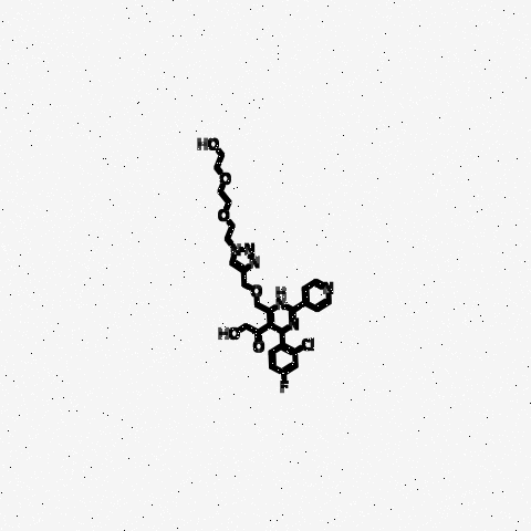 O=C(CO)C1=C(COCc2cn(CCOCCOCCO)nn2)NC(c2ccncc2)=NC1c1ccc(F)cc1Cl